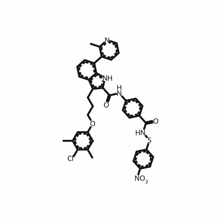 Cc1cc(OCCCc2c(C(=O)Nc3ccc(C(=O)NSc4ccc([N+](=O)[O-])cc4)cc3)[nH]c3c(-c4cccnc4C)cccc23)cc(C)c1Cl